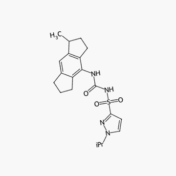 CC1CCc2c1cc1c(c2NC(=O)NS(=O)(=O)c2ccn(C(C)C)n2)CCC1